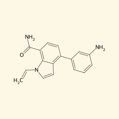 C=Cn1ccc2c(-c3cccc(N)c3)ccc(C(N)=O)c21